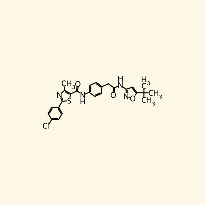 Cc1nc(-c2ccc(Cl)cc2)sc1C(=O)Nc1ccc(CC(=O)Nc2cc(C(C)(C)C)on2)cc1